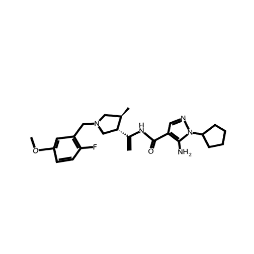 C=C(NC(=O)c1cnn(C2CCCC2)c1N)[C@@H]1CN(Cc2cc(OC)ccc2F)C[C@H]1C